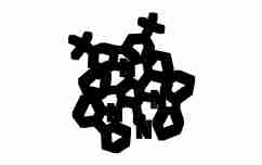 CC(C)(C)c1ccc2c(c1)c1cc(C(C)(C)C)ccc1n2-c1c(-c2ccccc2)c(-n2c3ccccc3c3ccccc32)c(C#N)c(-n2c3ccccc3c3ccccc32)c1-c1ccccc1